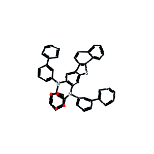 c1ccc(-c2cccc(N(c3ccccc3)c3cc4sc5c6ccccc6ccc5c4cc3N(c3ccccc3)c3cccc(-c4ccccc4)c3)c2)cc1